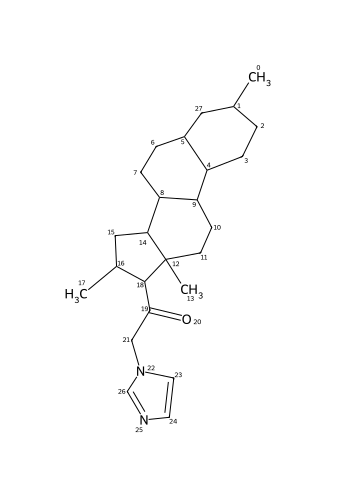 CC1CCC2C(CCC3C2CCC2(C)C3CC(C)C2C(=O)Cn2ccnc2)C1